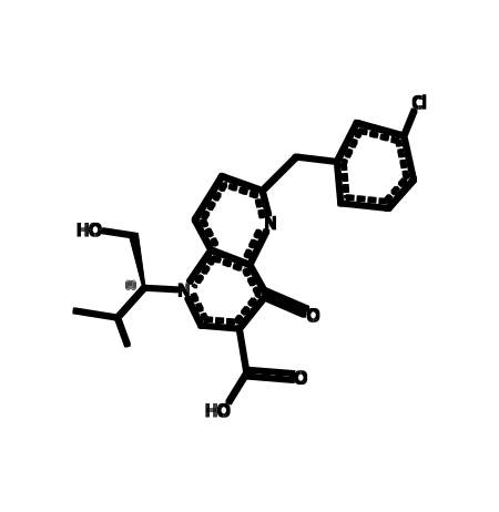 CC(C)[C@@H](CO)n1cc(C(=O)O)c(=O)c2nc(Cc3cccc(Cl)c3)ccc21